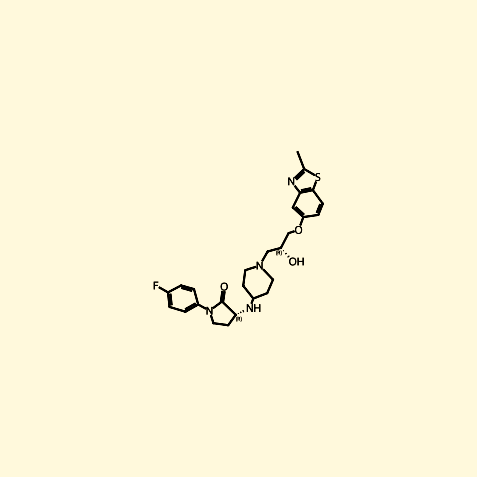 Cc1nc2cc(OC[C@H](O)CN3CCC(N[C@@H]4CCN(c5ccc(F)cc5)C4=O)CC3)ccc2s1